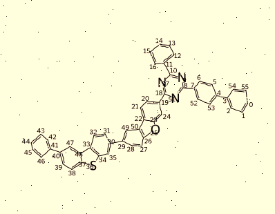 c1ccc(-c2ccc(-c3nc(-c4ccccc4)nc(-c4ccc5c(c4)oc4ccc(-c6ccc7c(c6)sc6ccc(-c8ccccc8)cc67)cc45)n3)cc2)cc1